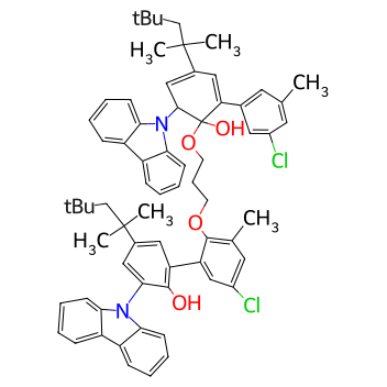 Cc1cc(Cl)cc(C2=CC(C(C)(C)CC(C)(C)C)=CC(n3c4ccccc4c4ccccc43)C2(O)OCCCOc2c(C)cc(Cl)cc2-c2cc(C(C)(C)CC(C)(C)C)cc(-n3c4ccccc4c4ccccc43)c2O)c1